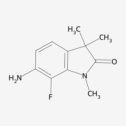 CN1C(=O)C(C)(C)c2ccc(N)c(F)c21